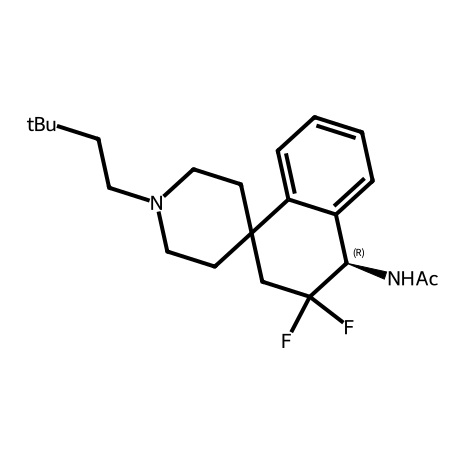 CC(=O)N[C@@H]1c2ccccc2C2(CCN(CCC(C)(C)C)CC2)CC1(F)F